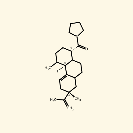 C=C(C)[C@]1(C)CC=C2C(CCC3[C@@H]2C(C)CC[C@@H]3C(=O)N2CCCC2)C1